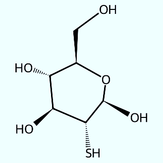 OC[C@H]1O[C@@H](O)[C@H](S)[C@@H](O)[C@@H]1O